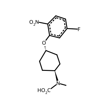 CN(C(=O)O)[C@H]1CC[C@H](Oc2cc(F)ccc2[N+](=O)[O-])CC1